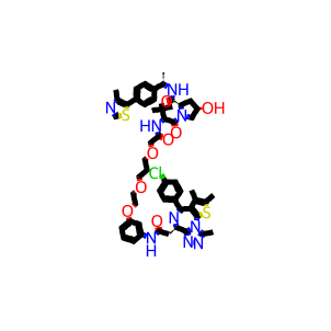 Cc1ncsc1-c1ccc([C@H](C)NC(=O)[C@@H]2C[C@@H](O)CN2C(=O)C(NC(=O)COCCCOCCOc2cccc(NC(=O)C[C@@H]3N=C(c4ccc(Cl)cc4)c4c(sc(C)c4C)-n4c(C)nnc43)c2)C(C)(C)C)cc1